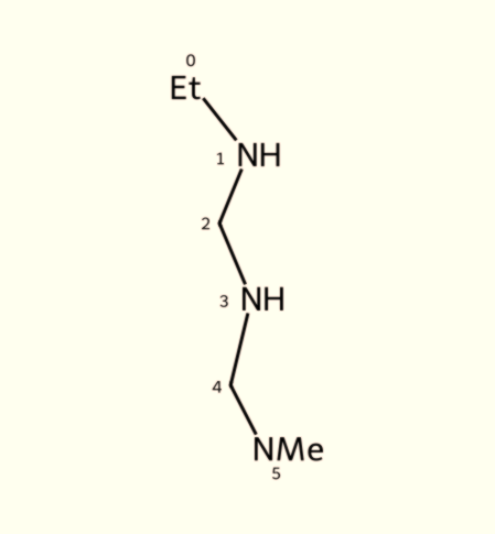 CCNCNCNC